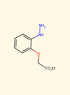 CCOC(=O)COc1ccccc1NN